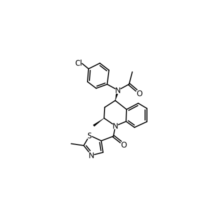 CC(=O)N(c1ccc(Cl)cc1)[C@@H]1C[C@H](C)N(C(=O)c2cnc(C)s2)c2ccccc21